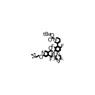 C[C@@H]1CN(c2cc(F)c(C3=CCCN(C(=O)OC(C)(C)C)C3)c(F)c2NC(=O)c2cnc(OCC[Si](C)(C)C)cc2C(F)F)C[C@H](C)N1C